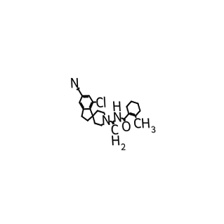 C=C(NC(=O)C1=C(C)CCCC1)N1CCC2(CCc3cc(C#N)cc(Cl)c32)CC1